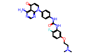 CN(C)CCOc1ccc(F)c(NC(=O)Nc2ccc(-n3ccc(=O)c4c(N)ncnc43)cc2)c1